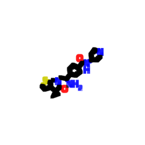 CN(CC(N)c1ccc(C(=O)Nc2ccncc2)cc1)C(=O)C1(c2ccsc2)CC1